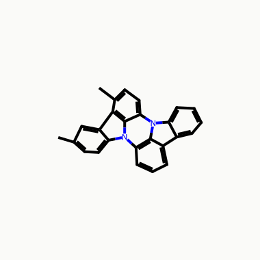 Cc1ccc2c(c1)c1c(C)ccc3c1n2c1cccc2c4ccccc4n3c21